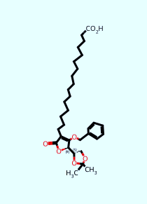 CC1(C)OC[C@@H]([C@H]2OC(=O)C(CCCCCCCCCCCCCCCC(=O)O)=C2OCc2ccccc2)O1